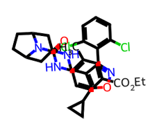 CCOC(=O)c1ccc(NC(=O)N2C3CCC2CC(NCc2c(-c4c(Cl)cccc4Cl)noc2C2CC2)C3)c(C)c1